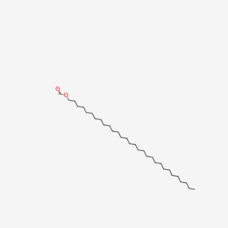 CCCCCCCCCCCCCCCCCCCCCCCCCCCCCCO[C]=O